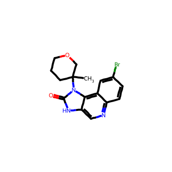 CC1(n2c(=O)[nH]c3cnc4ccc(Br)cc4c32)CCCOC1